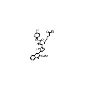 CCC(=O)CCCOC[C@H](NC(=O)[C@H]1CC12CCNCC2)c1ncc(-c2cc3ccccc3nc2OC)[nH]1